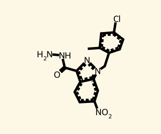 Cc1cc(Cl)ccc1Cn1nc(C(=O)NN)c2ccc([N+](=O)[O-])cc21